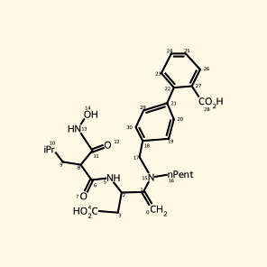 C=C(C(CC(=O)O)NC(=O)C(CC(C)C)C(=O)NO)N(CCCCC)Cc1ccc(-c2ccccc2C(=O)O)cc1